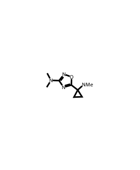 CNC1(c2nc(N(C)C)no2)CC1